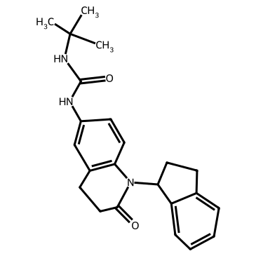 CC(C)(C)NC(=O)Nc1ccc2c(c1)CCC(=O)N2C1CCc2ccccc21